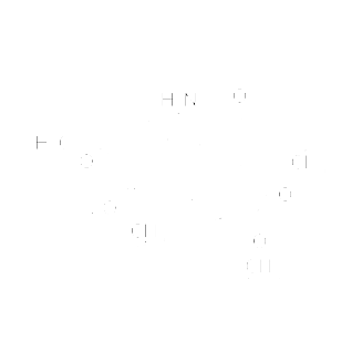 COc1ccc(C(=C(N)C=O)c2ccc(OC)c(OC)c2)cc1OC